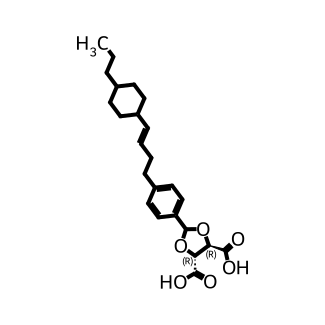 CCCC1CCC(C=CCCc2ccc(C3O[C@@H](C(=O)O)[C@H](C(=O)O)O3)cc2)CC1